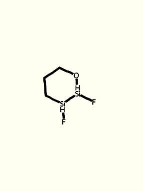 F[SiH]1CCCO[SiH]1F